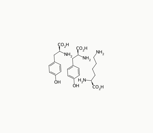 NCCCC[C@H](N)C(=O)O.N[C@@H](Cc1ccc(O)cc1)C(=O)O.N[C@@H](Cc1ccc(O)cc1)C(=O)O